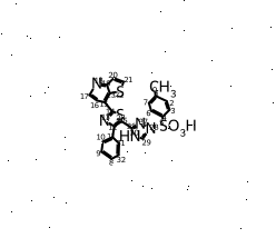 Cc1ccc(S(=O)(=O)O)cc1.c1ccc(-c2nc(-c3ccnc4ccsc34)sc2-c2nnc[nH]2)cc1